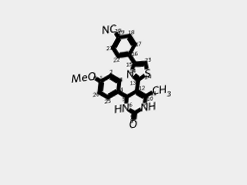 COc1ccc(C2NC(=O)NC(C)=C2c2nc(-c3ccc(C#N)cc3)cs2)cc1